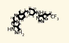 Cc1c(CN2CCC(Nc3ncnc4sc(CC(F)(F)F)cc34)CC2)ccc2c1ncc(=O)n2C/C(C=N)=C/N